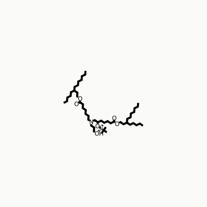 CCCCCCCC(CCCCC)CCOC(=O)CCCCCCN(CCCO)CC(CCCCC(=O)OCCC(CCCCC)CCCCCCC)O[Si](C)(C)C(C)(C)C